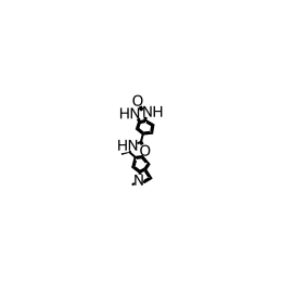 C[C@@H](NC(=O)c1ccc2[nH]c(=O)[nH]c2c1)c1ccc2ccn(C)c2c1